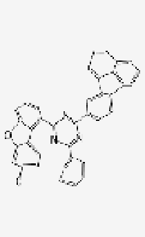 Clc1ccc2c(c1)oc1cccc(-c3nc(-c4ccccc4)nc(-c4ccc5c(c4)-c4cccc6cccc-5c46)n3)c12